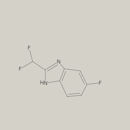 Fc1ccc2[nH]c(C(F)F)nc2c1